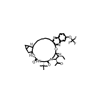 CC[C@@H]1[C@@H]2CN(C(=O)[C@H](C(C)(C)C)NC(=O)O[C@@H]3CC4CC4[C@H]3CCCCCc3nc4ccc(OC(F)(F)F)cc4nc3O2)[C@@H]1C(C)=O